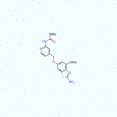 CNC(=O)Nc1cc(COc2cc(OC)c3nc(N)sc3c2)ccn1